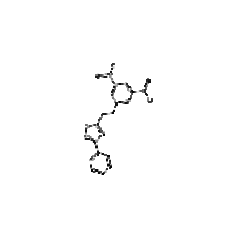 O=[N+]([O-])c1cc(CCc2nc(-c3ccccc3)no2)cc([N+](=O)[O-])c1